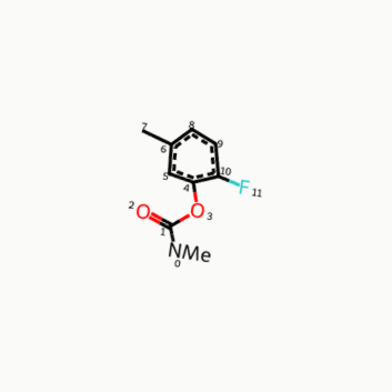 CNC(=O)Oc1cc(C)ccc1F